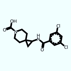 O=C(NC1CC12CCN(C(=O)O)CC2)c1cc(Cl)cc(Cl)c1